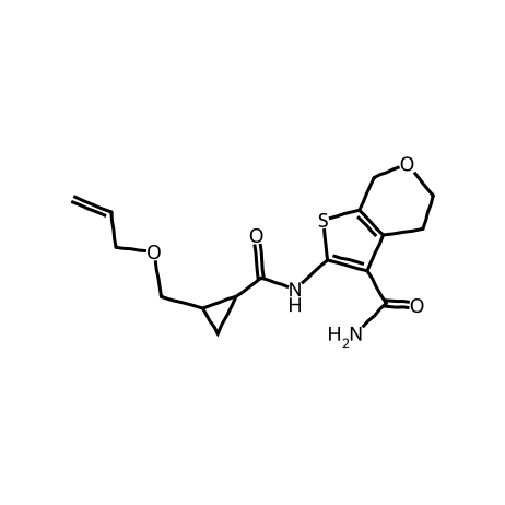 C=CCOCC1CC1C(=O)Nc1sc2c(c1C(N)=O)CCOC2